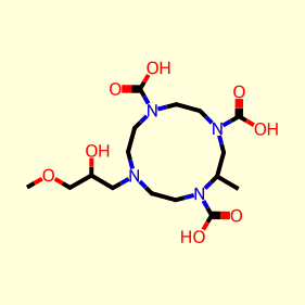 COCC(O)CN1CCN(C(=O)O)CCN(C(=O)O)CC(C)N(C(=O)O)CC1